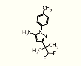 Cc1ccc(-n2nc(C(C)(C)C(F)F)cc2N)cc1